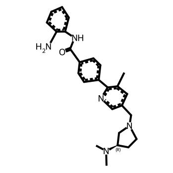 Cc1cc(CN2CC[C@@H](N(C)C)C2)cnc1-c1ccc(C(=O)Nc2ccccc2N)cc1